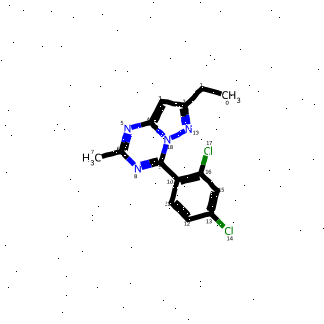 CCc1cc2nc(C)nc(-c3ccc(Cl)cc3Cl)n2n1